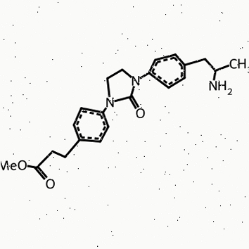 COC(=O)CCc1ccc(N2CCN(c3ccc(CC(C)N)cc3)C2=O)cc1